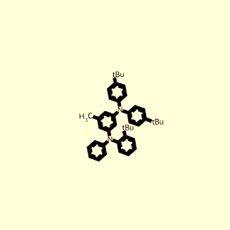 Cc1cc(N(c2ccc(C(C)(C)C)cc2)c2ccc(C(C)(C)C)cc2)cc(N(c2ccccc2)c2ccccc2C(C)(C)C)c1